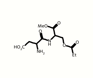 CCC(=O)OCC(NC(=O)C(N)CC(=O)O)C(=O)OC